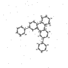 c1ccc(-c2ccc3c(c2)c2cc(-c4ccccc4)ccc2c2nccnc32)cc1